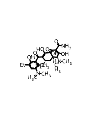 CCc1cc(N(C)C)c(C)c(C(=O)C2=C(O)[C@]34OC3(O)C(C(N)=O)=C(O)[C@@H](N(C)C)[C@@H]4C[C@@H]2C)c1O